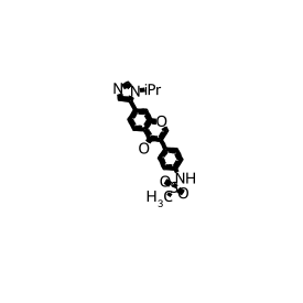 CC(C)n1cncc1-c1ccc2c(=O)c(-c3ccc(NS(C)(=O)=O)cc3)coc2c1